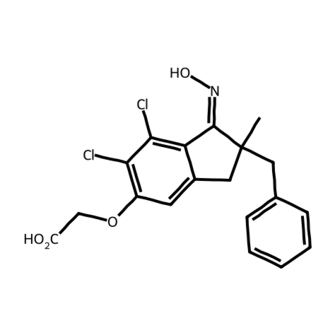 CC1(Cc2ccccc2)Cc2cc(OCC(=O)O)c(Cl)c(Cl)c2/C1=N\O